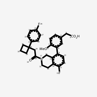 COc1ccc(CC(=O)O)cc1-c1ccc(F)c2c1CN(C(=O)CC1(c3ccc(F)cc3)CCC1)CC2